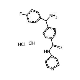 Cl.Cl.NC(c1ccc(F)cc1)c1ccc(C(=O)Nc2ccncc2)cc1